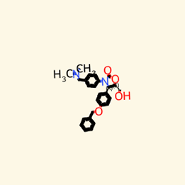 CN(C)Cc1ccc(N2C(=O)O[C@H](CO)[C@H]2c2ccc(OCc3ccccc3)cc2)cc1